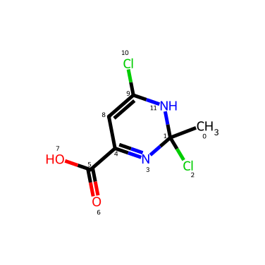 CC1(Cl)N=C(C(=O)O)C=C(Cl)N1